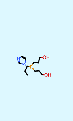 CCC(n1ccnc1)P(CCCO)CCCO